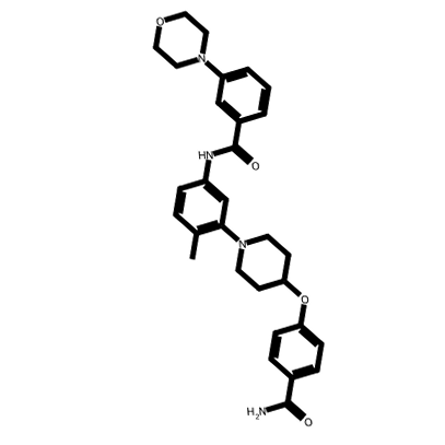 Cc1ccc(NC(=O)c2cccc(N3CCOCC3)c2)cc1N1CCC(Oc2ccc(C(N)=O)cc2)CC1